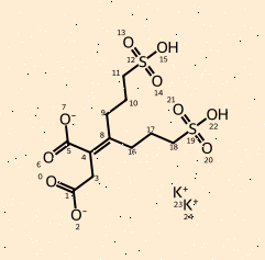 O=C([O-])CC(C(=O)[O-])=C(CCCS(=O)(=O)O)CCCS(=O)(=O)O.[K+].[K+]